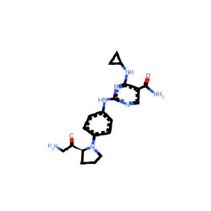 NCC(=O)[C@@H]1CCCN1c1ccc(Nc2ncc(C(N)=O)c(NC3CC3)n2)cc1